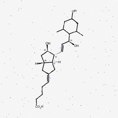 CCCC1CC(C)C([C@@H](O)/C=C/[C@@H]2[C@H]3C/C(=C/CCCC(=O)O)C[C@@H]3C[C@H]2O)C(C)C1